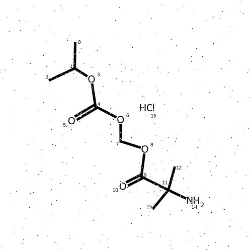 CC(C)OC(=O)OCOC(=O)C(C)(C)N.Cl